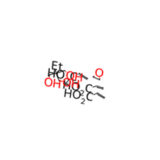 C1CO1.C=CC(=O)O.C=CC(=O)O.C=CC(=O)O.CCC(CO)(CO)CO